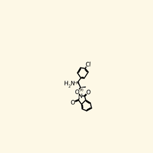 C[C@@H](ON1C(=O)c2ccccc2C1=O)[C@H](N)c1ccc(Cl)cc1